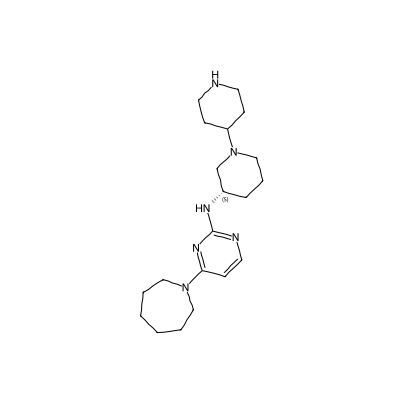 c1cc(N2CCCCCC2)nc(N[C@H]2CCCN(C3CCNCC3)C2)n1